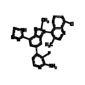 Cc1cnc2c(Cl)cccc2c1-n1c(C)nc2c(-c3nnc[nH]3)cc(-c3ccnc(N)c3F)cc21